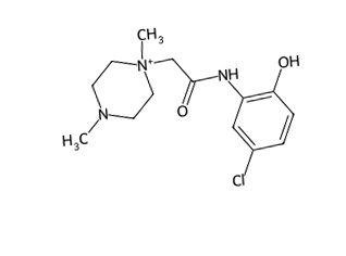 CN1CC[N+](C)(CC(=O)Nc2cc(Cl)ccc2O)CC1